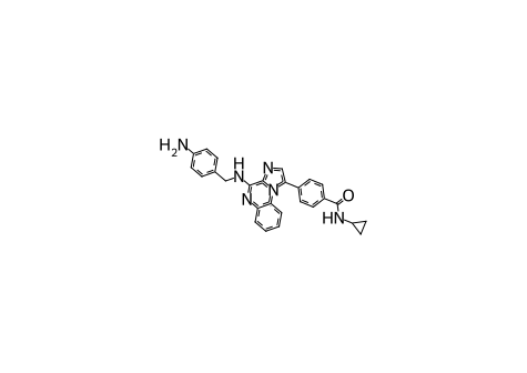 Nc1ccc(CNc2nc3ccccc3n3c(-c4ccc(C(=O)NC5CC5)cc4)cnc23)cc1